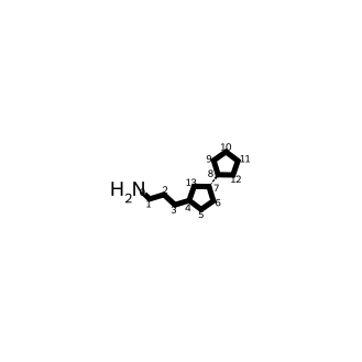 NCCCC1CC[C@@H](C2CCCC2)C1